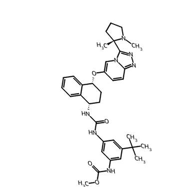 COC(=O)Nc1cc(NC(=O)N[C@H]2CC[C@@H](Oc3ccc4nnc([C@]5(C)CCCN5C)n4c3)c3ccccc32)cc(C(C)(C)C)c1